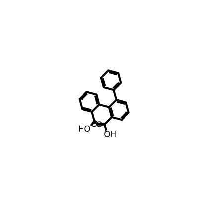 O=C(O)c1ccccc1-c1c(C(=O)O)cccc1-c1ccccc1